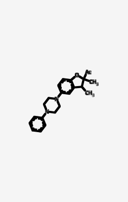 CC(=O)C1(C)Oc2ccc(N3CCN(c4ccccc4)CC3)cc2C1C